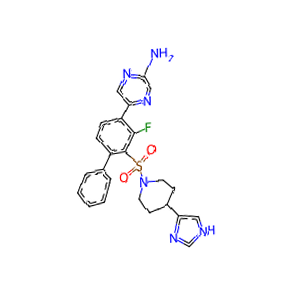 Nc1cnc(-c2ccc(-c3ccccc3)c(S(=O)(=O)N3CCC(c4c[nH]cn4)CC3)c2F)cn1